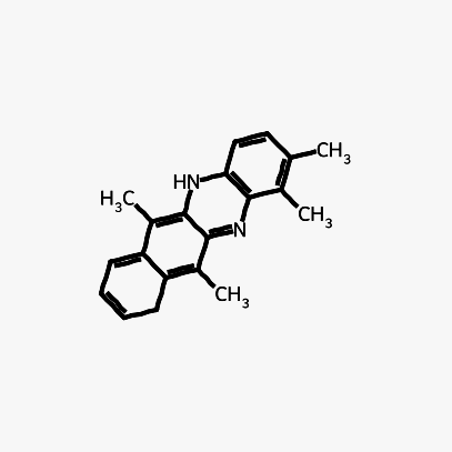 Cc1ccc2c(c1C)N=c1c(C)c3c(c(C)c1N2)=CC=CC3